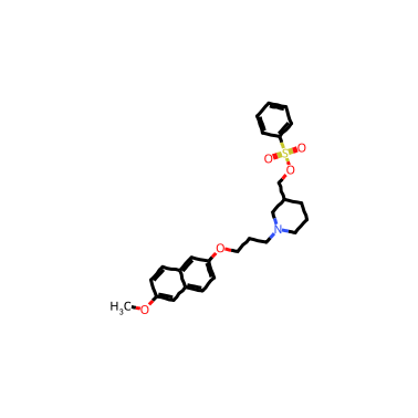 COc1ccc2cc(OCCCN3CCCC(COS(=O)(=O)c4ccccc4)C3)ccc2c1